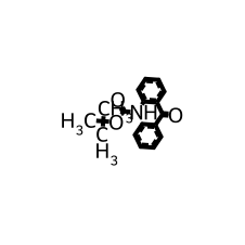 CC(C)(C)OC(=O)Nc1ccccc1C(=O)c1ccccc1